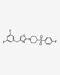 O=S(=O)(c1ccc(F)cc1)C1CCN(c2nc(Cc3cc(F)cc(F)c3)cs2)CC1